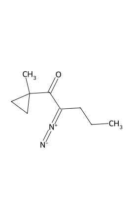 CCCC(=[N+]=[N-])C(=O)C1(C)CC1